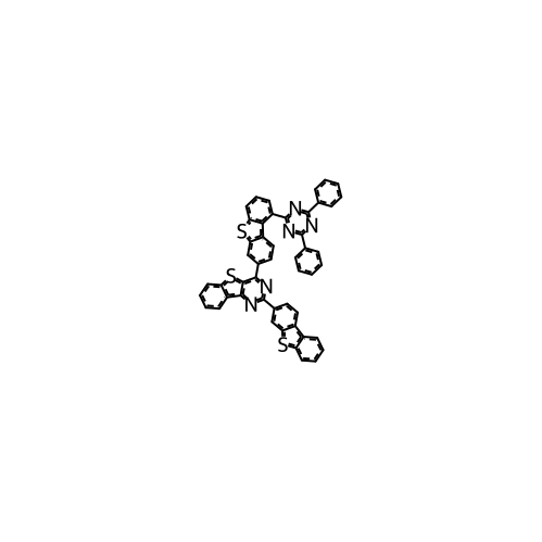 c1ccc(-c2nc(-c3ccccc3)nc(-c3cccc4sc5cc(-c6nc(-c7ccc8c(c7)sc7ccccc78)nc7c6sc6ccccc67)ccc5c34)n2)cc1